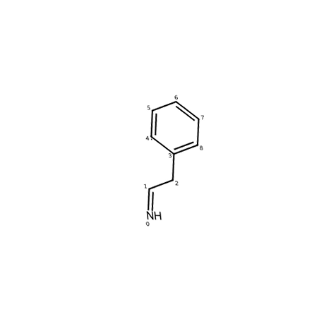 N=CCc1[c]cccc1